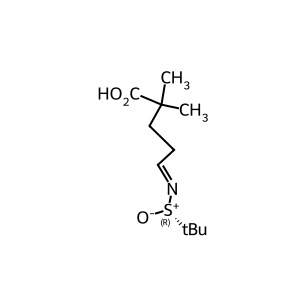 CC(C)(CCC=N[S@@+]([O-])C(C)(C)C)C(=O)O